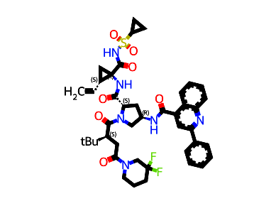 C=C[C@@H]1C[C@]1(NC(=O)[C@@H]1C[C@@H](NC(=O)c2cc(-c3ccccc3)nc3ccccc23)CN1C(=O)[C@@H](CC(=O)N1CCCC(F)(F)C1)C(C)(C)C)C(=O)NS(=O)(=O)C1CC1